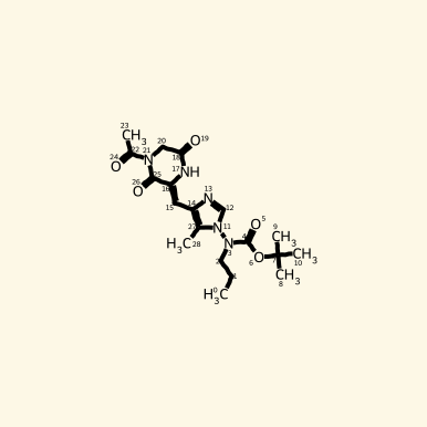 CCCN(C(=O)OC(C)(C)C)n1cnc(/C=C2\NC(=O)CN(C(C)=O)C2=O)c1C